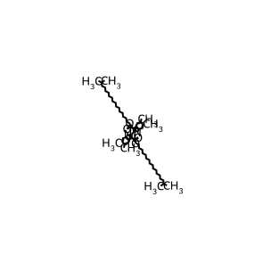 Cc1cc2nc(-c3nc4cc(C)c(C)cc4n3C(=O)OCCCCCCCCCCCCCCCC(C)C)n(C(=O)OCCCCCCCCCCCCCCCC(C)C)c2cc1C